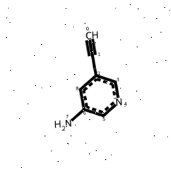 C#Cc1cncc(N)c1